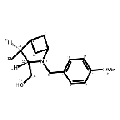 COc1ccc(CN2C3CC(C3)[C@H](C)[C@H]2CO)cc1